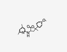 COc1ccc(C2(C)CC(Nc3cc(C)cc(C)n3)C(=O)O2)cc1